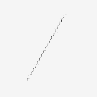 CCCCCCCCCCCCCCCCCCOCC(O)CCCCCCCCCCCCCCCCCC